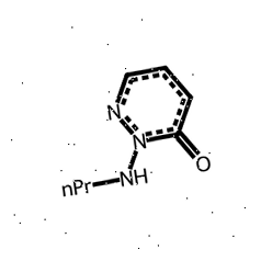 CCCNn1ncccc1=O